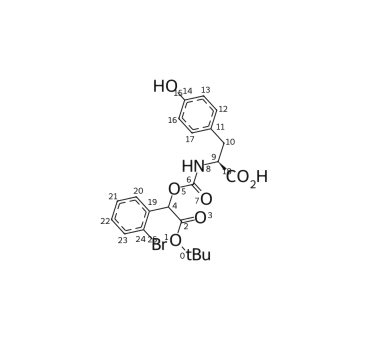 CC(C)(C)OC(=O)C(OC(=O)N[C@@H](Cc1ccc(O)cc1)C(=O)O)c1ccccc1Br